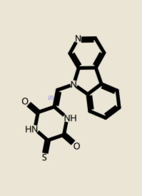 O=C1N/C(=C\n2c3ccccc3c3ccncc32)C(=O)NC1=S